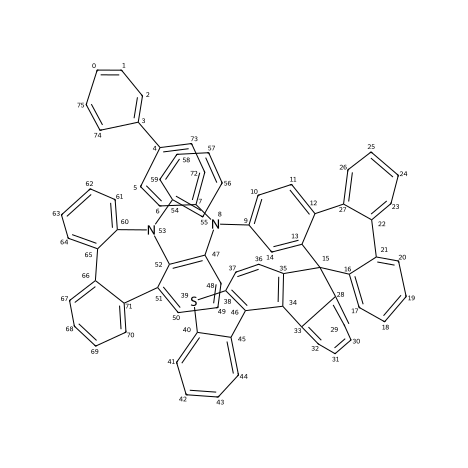 c1ccc(-c2ccc(N(c3ccc4c(c3)C3(c5ccccc5-c5ccccc5-4)c4ccccc4-c4c3ccc3sc5ccccc5c43)c3cccc4c3N(c3ccccc3)c3ccccc3-c3ccccc3-4)cc2)cc1